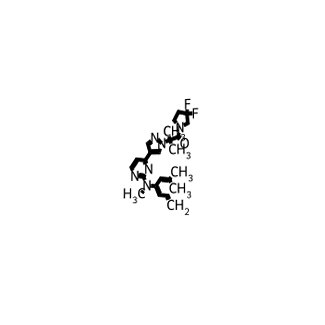 C=C/C=C(\C=C(C)C)N(C)c1nccc(-c2cnn(C(C)(C)C(=O)N3CCC(F)(F)C3)c2)n1